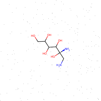 NC[C@](N)(O)C(O)C(O)C(O)CO